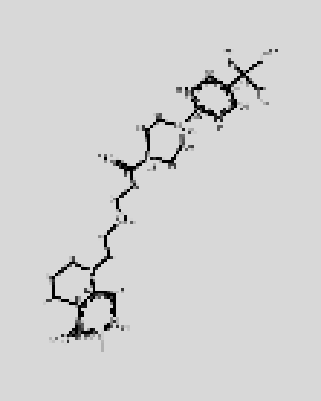 O=C(CCOCCN1CCCc2c1cn[nH]c2=O)N1CCN(c2ncc(C(F)(F)F)cn2)CC1